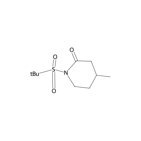 CC1CCN(S(=O)(=O)C(C)(C)C)C(=O)C1